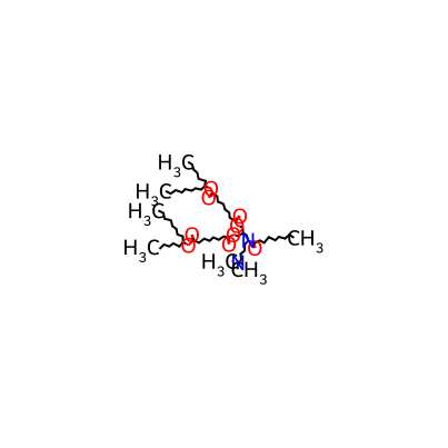 CCCCCCCCC(=O)N(CCCCN(C)C)CC(COC(=O)CCCCCCC(=O)OC(CCCCCC)CCCCCCCC)COC(=O)CCCCCCC(=O)OC(CCCCCC)CCCCCCCC